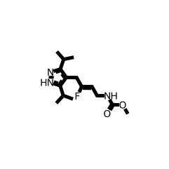 COC(=O)NCC=C(F)Cc1c(C(C)C)n[nH]c1C(C)C